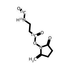 C=C1CCC(=O)N1O[13C](=O)CC[15NH][13CH]=O